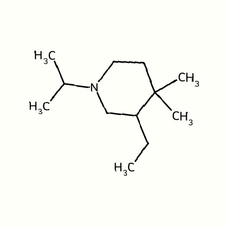 CCC1CN(C(C)C)CCC1(C)C